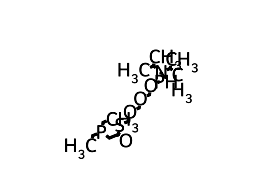 CCP(CC)CC(=O)SCOCOCOPN(C(C)C)C(C)C